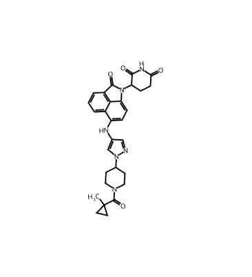 CC1(C(=O)N2CCC(n3cc(Nc4ccc5c6c(cccc46)C(=O)N5C4CCC(=O)NC4=O)cn3)CC2)CC1